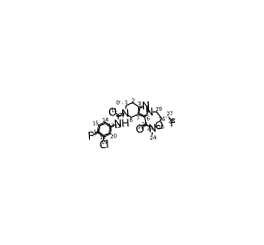 C[C@@H]1Cc2nn3c(c2CN1C(=O)Nc1ccc(F)c(Cl)c1)C(=O)N(C)O[C@@H](CF)C3